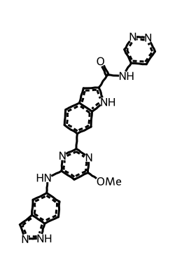 COc1cc(Nc2ccc3[nH]ncc3c2)nc(-c2ccc3cc(C(=O)Nc4ccnnc4)[nH]c3c2)n1